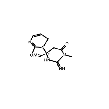 COC1=NC=CCN1[C@]1(C)CC(=O)N(C)C(=N)N1